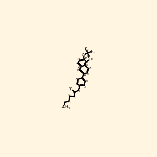 CCCCCC(F)Cc1ccc(-c2ccc3c(F)c(OC(F)(F)F)ccc3c2)cc1